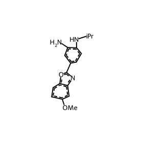 COc1ccc2oc(-c3ccc(NC(C)C)c(N)c3)nc2c1